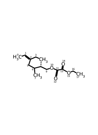 CC=C(CC)CC(C)CCOC(=O)C(=O)OCC